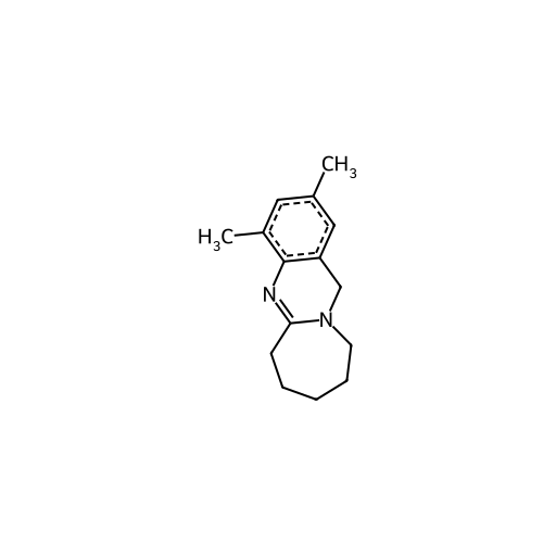 Cc1cc(C)c2c(c1)CN1CCCCCC1=N2